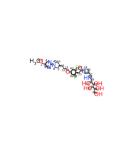 COCc1cnc(N2CCC(CCCOc3cc(F)c(CC(=O)N4CC[C@@H](CNCC(O)C(O)C(O)C(O)CO)C4)c(F)c3)CC2)nc1